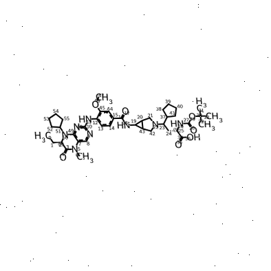 CC[C@@H]1C(=O)N(C)c2cnc(Nc3ccc(C(=O)NC4C5CN(C(C[C@H](NC(=O)OC(C)(C)C)C(=O)O)C6CCCC6)CC54)cc3OC)nc2N1C1CCCC1